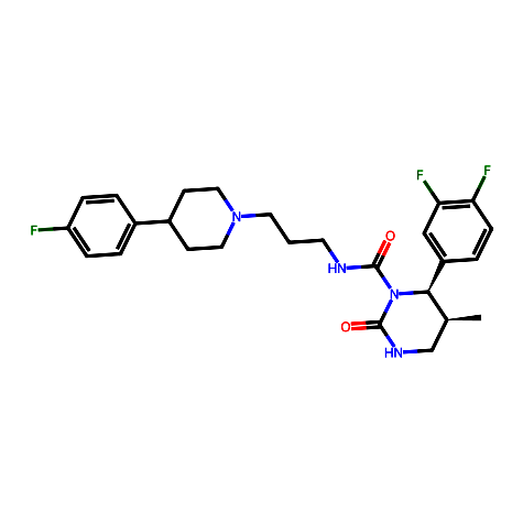 C[C@H]1CNC(=O)N(C(=O)NCCCN2CCC(c3ccc(F)cc3)CC2)[C@H]1c1ccc(F)c(F)c1